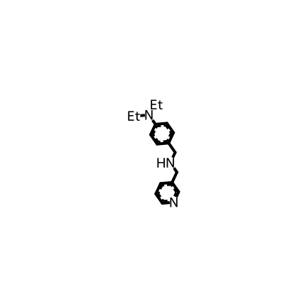 CCN(CC)c1ccc(CNCc2cccnc2)cc1